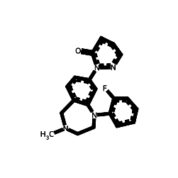 CN1CCN(c2ccccc2F)c2cc(-n3ncccc3=O)ccc2C1